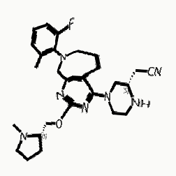 Cc1cccc(F)c1N1CCCc2c(nc(OC[C@@H]3CCCN3C)nc2N2CCN[C@@H](CC#N)C2)C1